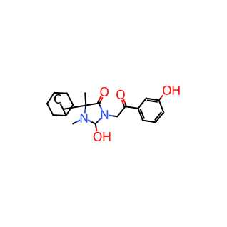 CN1C(O)N(CC(=O)c2cccc(O)c2)C(=O)C1(C)C1CC2CCC1CC2